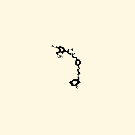 CC(=O)Oc1ccc(C(O)CNCCc2ccc(OCCOCc3cccc(Cl)c3)cc2)cc1CO